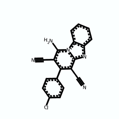 N#Cc1c(-c2ccc(Cl)cc2)c(C#N)c2nc3ccccc3n2c1N